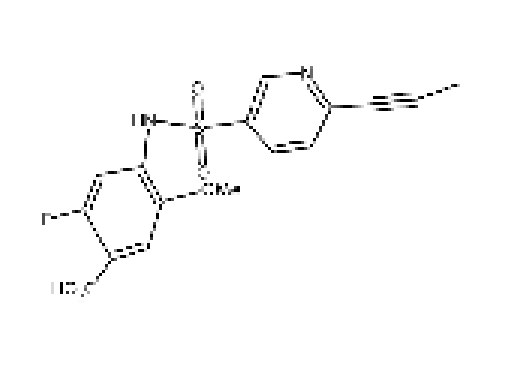 CC#Cc1ccc(S(=O)(=O)Nc2cc(F)c(C(=O)O)cc2OC)cn1